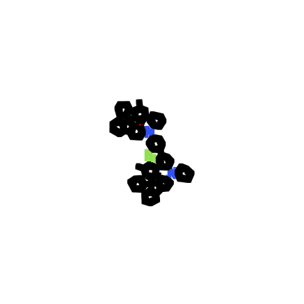 Cc1ccc(C)c(C2(c3ccccc3)c3ccccc3-c3ccc(N(c4ccccc4)c4ccc(-c5ccc(N(c6ccccc6)c6ccc7c(c6)C(c6ccccc6)(c6cc(C)ccc6C)c6ccccc6-7)cc5F)c(F)c4)cc32)c1